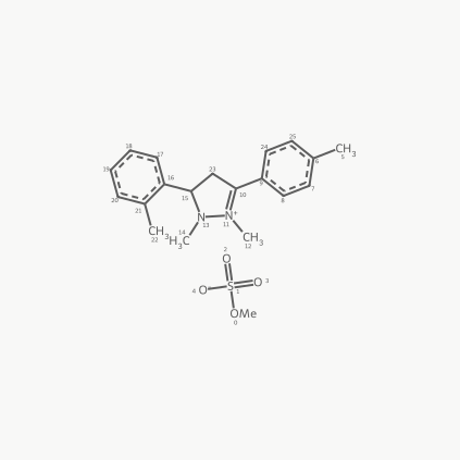 COS(=O)(=O)[O-].Cc1ccc(C2=[N+](C)N(C)C(c3ccccc3C)C2)cc1